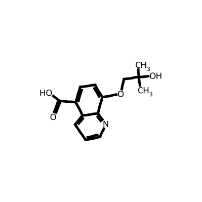 CC(C)(O)COc1ccc(C(=O)O)c2cccnc12